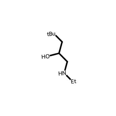 CCNCC(O)CC(C)(C)C